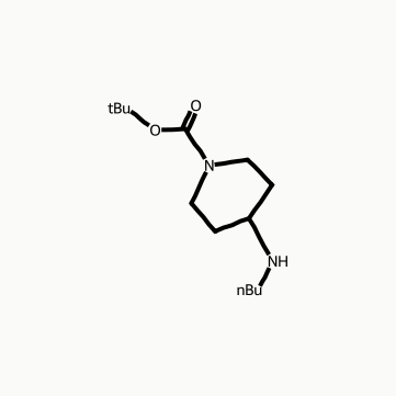 CCCCNC1CCN(C(=O)OC(C)(C)C)CC1